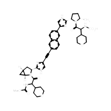 COC(=O)NC(C(=O)N1[C@@H]2C[C@@H]2C[C@H]1c1nc(C#Cc2ccc3cc(-c4c[nH]c([C@@H]5CC[C@H](C)N5C(=O)C(NC(=O)O)C5CCOCC5)n4)ccc3c2)c[nH]1)C1CCOCC1